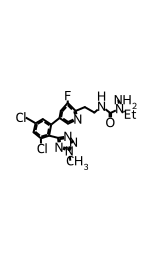 CCN(N)C(=O)NCCc1ncc(-c2cc(Cl)cc(Cl)c2-c2nnn(C)n2)cc1F